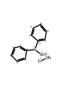 CCO.FC(F)(F)NN(c1ccccc1)c1ccccc1